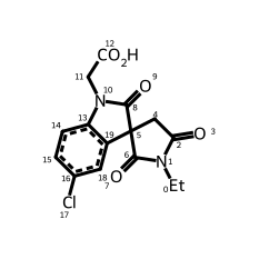 CCN1C(=O)CC2(C1=O)C(=O)N(CC(=O)O)c1ccc(Cl)cc12